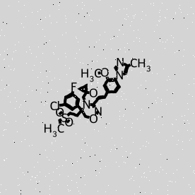 CCS(=O)(=O)CCC1(c2cc(F)cc(Cl)c2)CON=C2/C(=C/c3ccc(-n4cnc(C)c4)c(OC)c3)OC3(CC3)CN21